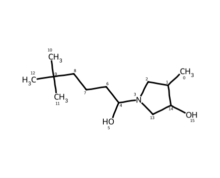 CC1CN(C(O)CCCC(C)(C)C)CC1O